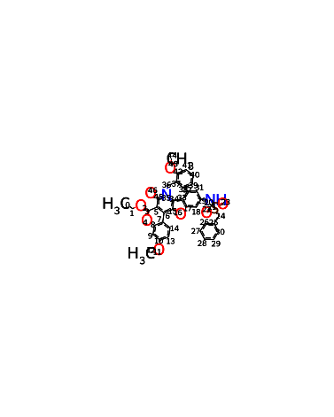 CCOC(=O)c1c(-c2ccc(OC)cc2)c2oc3cc(NS(=O)(=O)Cc4ccccc4)ccc3c2n(Cc2ccccc2OC)c1=O